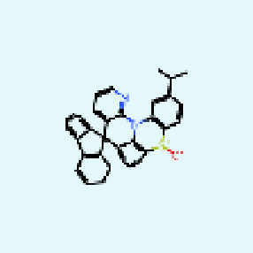 CC(C)c1ccc2c(c1)N1c3ncccc3C3(C4=C(C=CCC4)c4ccccc43)c3cccc(c31)[S+]2[O-]